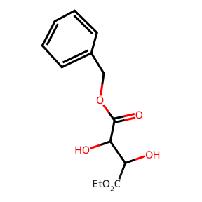 CCOC(=O)C(O)C(O)C(=O)OCc1ccccc1